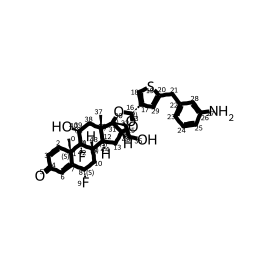 C[C@]12C=CC(=O)C=C1[C@@H](F)C[C@H]1[C@@H]3C[C@H]4O[C@@H](c5csc(Cc6cccc(N)c6)c5)O[C@@]4(C(=O)CO)[C@@]3(C)C[C@H](O)[C@@]12F